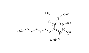 CCCCCCCCCCCCCCCCc1c(O)c(CNC)c(CCC)c(O)c1CNC.Cl